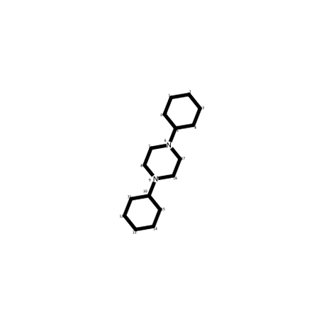 [C]1CCCCC1N1CCN(C2[C]CCCC2)CC1